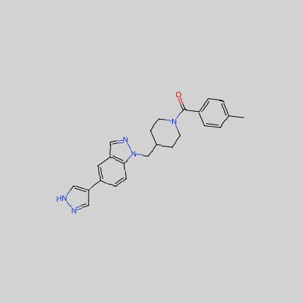 Cc1ccc(C(=O)N2CCC(Cn3ncc4cc(-c5cn[nH]c5)ccc43)CC2)cc1